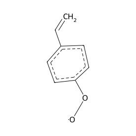 C=Cc1ccc(O[O])cc1